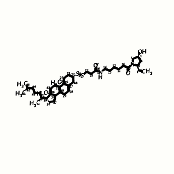 CC[C@@H]1C[C@@H](O)CN1C(=O)CCCCCNC(=O)CCSS[C@H]1CC[C@@]2(C)C(=CCC3C2CC[C@@]2(C)C3CC[C@@H]2[C@H](C)CCCC(C)C)C1